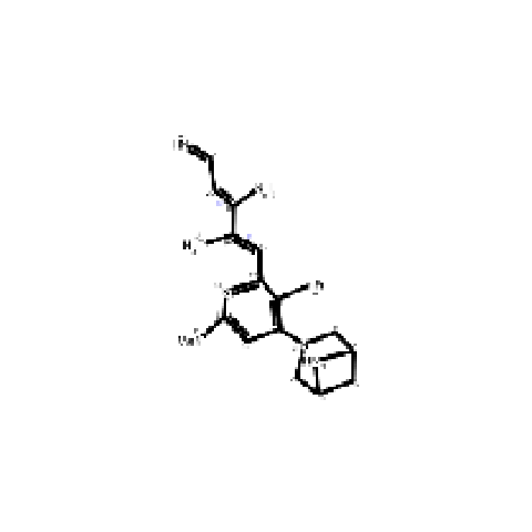 CCCc1c(N2CC3CC(C2)N3)cc(NC)nc1/C=C(C)/C(N)=C/C=N